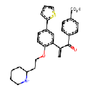 C=C(C(=O)c1ccc(C(=O)O)cc1)c1cc(-c2cccs2)ccc1OCCC1CCCCN1